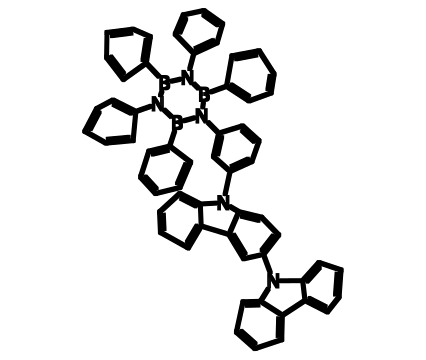 c1ccc(B2N(c3ccccc3)B(c3ccccc3)N(c3cccc(-n4c5ccccc5c5cc(-n6c7ccccc7c7ccccc76)ccc54)c3)B(c3ccccc3)N2c2ccccc2)cc1